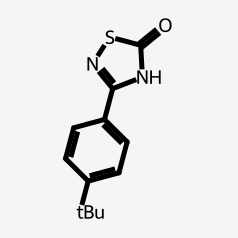 CC(C)(C)c1ccc(-c2nsc(=O)[nH]2)cc1